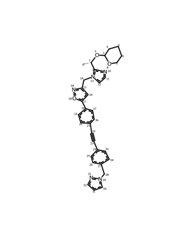 C[C@H](OC1CCCCO1)c1nccn1Cc1cc(-c2ccc(C#Cc3ccc(Cn4cccn4)cc3)cc2)on1